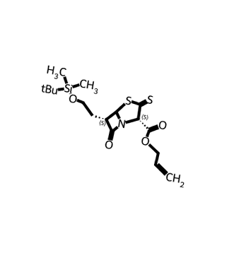 C=CCOC(=O)[C@H]1C(=S)SC2[C@@H](CCO[Si](C)(C)C(C)(C)C)C(=O)N21